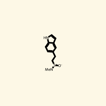 CN[S+]([O-])CCc1ccc2[nH]ccc2c1